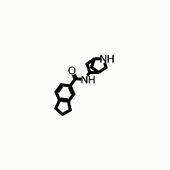 O=C(NC1CC2CC1CN2)c1ccc2c(c1)CCC2